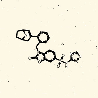 O=c1oc2cc(S(=O)(=O)Nc3ncns3)ccc2n1Cc1ccccc1C1=CC2CCC(C1)N2